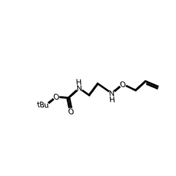 C=CCONCCNC(=O)OC(C)(C)C